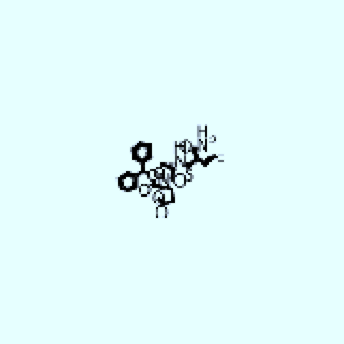 NC(=O)C(C=CF)C(=S)N[C@H]1CON(C2(C(=O)OC(c3ccccc3)c3ccccc3)CCC(=O)O2)C1=O